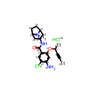 CCC#CC(CC)Oc1cc(N)c(Cl)cc1C(=O)NC1CC2CCC(C1)N2C.Cl